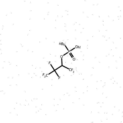 CCCCP(=O)(O)OC(C(F)(F)F)C(F)(F)C(F)(F)F